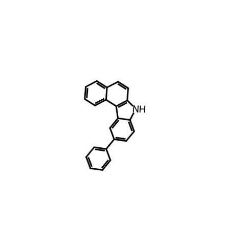 c1ccc(-c2ccc3[nH]c4ccc5ccccc5c4c3c2)cc1